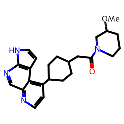 COC1CCCN(C(=O)CC2CCC(c3ccnc4cnc5[nH]ccc5c34)CC2)C1